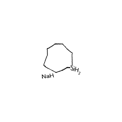 C1CC[SiH2]CC1.[NaH]